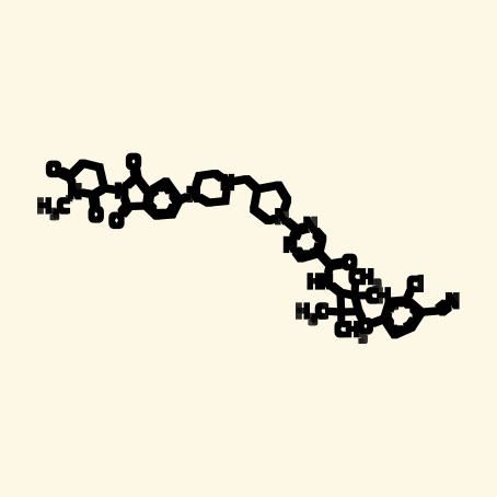 CN1C(=O)CCC(N2C(=O)c3ccc(N4CCN(CC5CCN(c6ncc(C(=O)NC7C(C)(C)C(Oc8ccc(C#N)c(Cl)c8)C7(C)C)cn6)CC5)CC4)cc3C2=O)C1=O